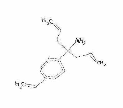 C=CCC(N)(CC=C)c1ccc(C=C)cc1